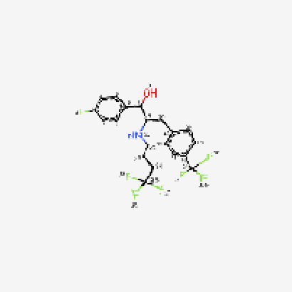 OC(c1ccc(F)cc1)C(Cc1ccc(C(F)(F)F)cc1)NCCCC(F)(F)F